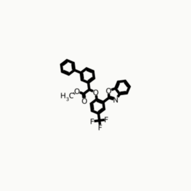 COC(=O)C(Oc1ccc(C(F)(F)F)cc1-c1nc2ccccc2o1)c1cccc(-c2ccccc2)c1